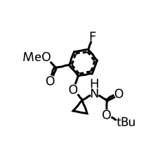 COC(=O)c1cc(F)ccc1OC1(NC(=O)OC(C)(C)C)CC1